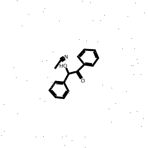 CC#N.O=C(c1ccccc1)C(O)c1ccccc1